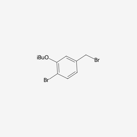 CC(C)COc1cc(CBr)ccc1Br